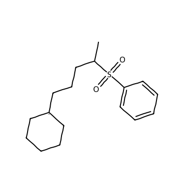 CC(CCC[C]1CCCCC1)S(=O)(=O)c1ccccc1